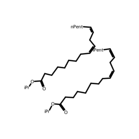 CCCCC/C=C\C/C=C\CCCCCCCC(=O)OC(C)C.CCCCC/C=C\C/C=C\CCCCCCCC(=O)OC(C)C